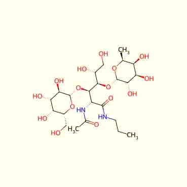 CCCNC(=O)[C@H](NC(C)=O)[C@@H](O[C@@H]1O[C@H](CO)[C@H](O)[C@H](O)[C@H]1O)[C@H](O[C@@H]1O[C@@H](C)[C@@H](O)[C@@H](O)[C@@H]1O)[C@H](O)CO